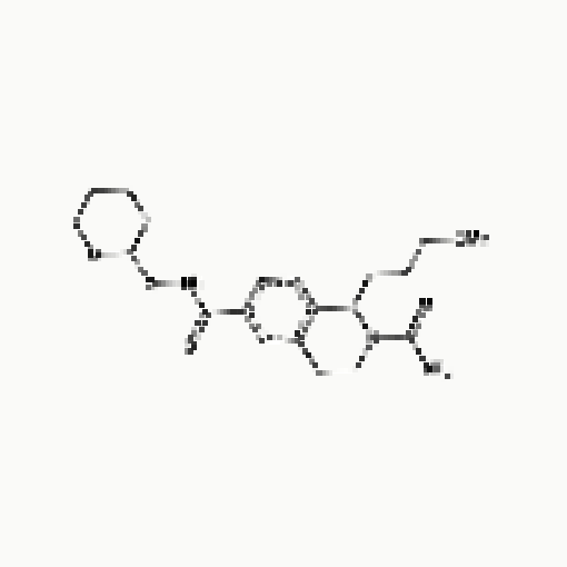 COCCCC1c2ccc(C(=O)NOC3CCCCO3)cc2CCN1C(N)=O